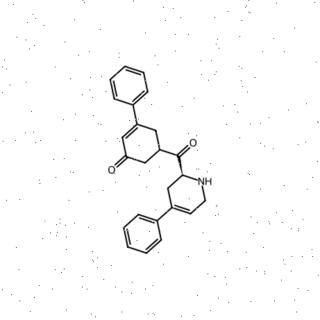 O=C1C=C(c2ccccc2)CC(C(=O)[C@@H]2CC(c3ccccc3)=CCN2)C1